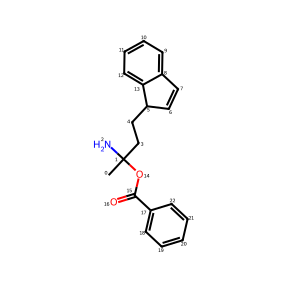 CC(N)(CCC1C=Cc2ccccc21)OC(=O)c1ccccc1